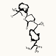 C[C@@H](c1ccc(C(=N)NO)cc1)N1CC[C@](CC(C)(C)O)(c2ccccc2)OC1=O